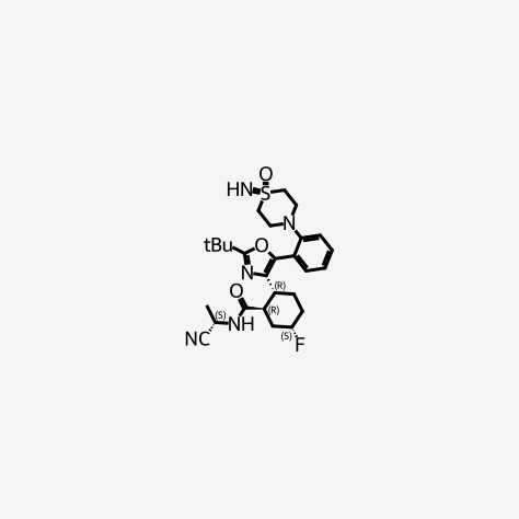 C[C@@H](C#N)NC(=O)[C@@H]1C[C@@H](F)CC[C@H]1c1nc(C(C)(C)C)oc1-c1ccccc1N1CCS(=N)(=O)CC1